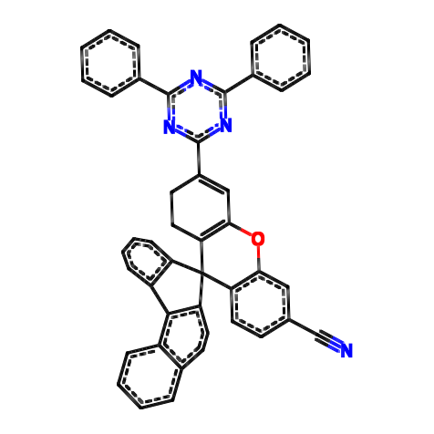 N#Cc1ccc2c(c1)OC1=C(CCC(c3nc(-c4ccccc4)nc(-c4ccccc4)n3)=C1)C21c2ccccc2-c2c1ccc1ccccc21